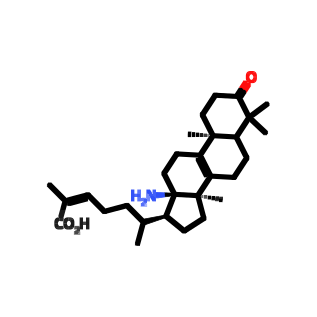 C/C(=C/CCC(C)[C@@H]1CC[C@]2(C)C3=C(CC[C@@]12N)[C@@]1(C)CCC(=O)C(C)(C)C1CC3)C(=O)O